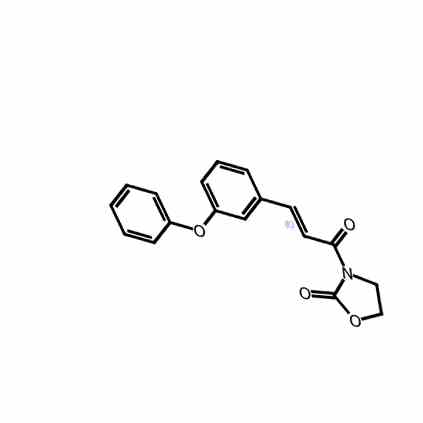 O=C(/C=C/c1cccc(Oc2ccccc2)c1)N1CCOC1=O